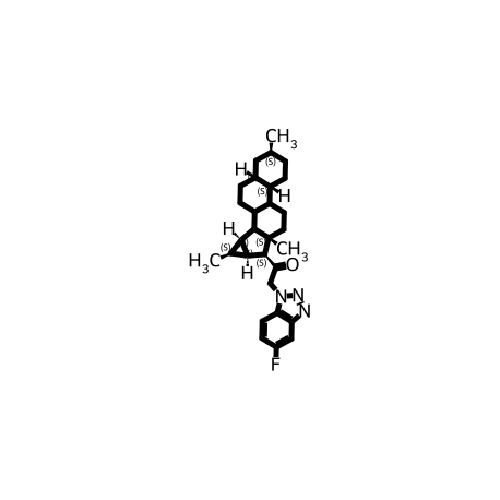 C[C@H]1CC[C@@H]2C3CC[C@@]4(C)C(C3CC[C@@H]2C1)[C@@H]1[C@H](C)[C@@H]1[C@@H]4C(=O)Cn1nnc2cc(F)ccc21